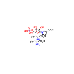 CC(C)CC(N)C(=O)O.CC(C)CC(N)C(=O)O.O=C([O-])c1ccc[n+]([C@@H]2O[C@H](COP(=O)(O)O)[C@@H](O)[C@H]2O)c1